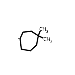 CC1(C)CC[CH]CCC1